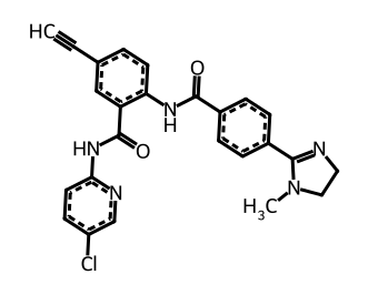 C#Cc1ccc(NC(=O)c2ccc(C3=NCCN3C)cc2)c(C(=O)Nc2ccc(Cl)cn2)c1